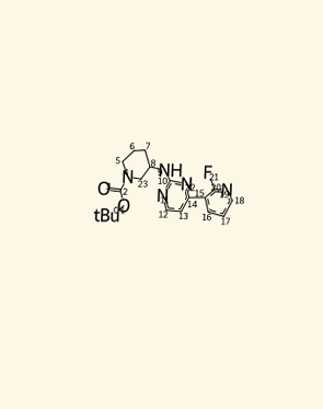 CC(C)(C)OC(=O)N1CCCC(Nc2nccc(-c3cccnc3F)n2)C1